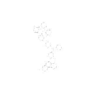 c1ccc(N(c2ccc(-c3ccc4c(c3)C(c3ccccc3)(c3ccccc3)c3ccccc3-4)cc2)c2ccc(-c3cc4ccccc4c4ccccc34)cc2)cc1